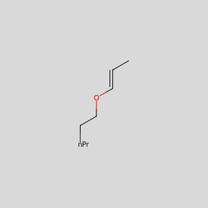 C[CH]CCCOC=CC